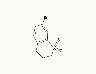 O=S1(=O)CCCc2ccc(Br)cc21